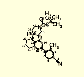 Cc1cc(C#N)ccc1-c1cc2c3c(c1)C1CN(C(=O)OC(C)(C)C)CC[C@@H]1N3CCC2